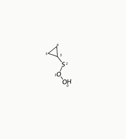 OOSC1CC1